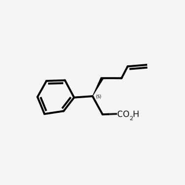 C=CCC[C@@H](CC(=O)O)c1ccccc1